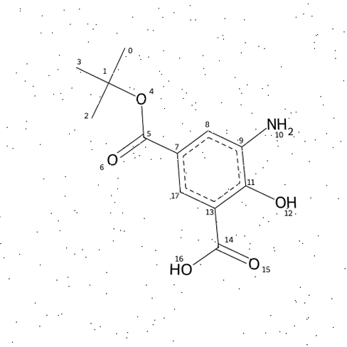 CC(C)(C)OC(=O)c1cc(N)c(O)c(C(=O)O)c1